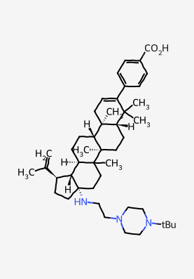 C=C(C)[C@@H]1CC[C@]2(NCCN3CCN(C(C)(C)C)CC3)CCC3(C)[C@H](CC[C@@H]4[C@@]5(C)CC=C(c6ccc(C(=O)O)cc6)C(C)(C)[C@@H]5CC[C@]43C)[C@@H]12